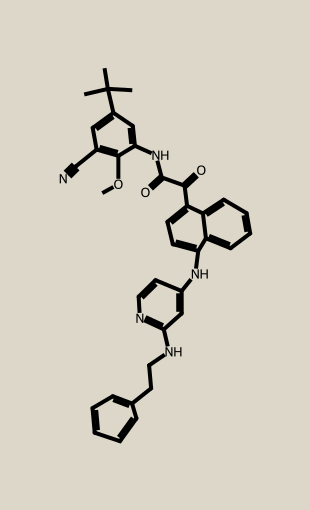 COc1c(C#N)cc(C(C)(C)C)cc1NC(=O)C(=O)c1ccc(Nc2ccnc(NCCc3ccccc3)c2)c2ccccc12